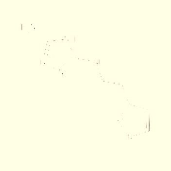 Nc1nnc(NCCc2cc[nH]c2)[nH]1